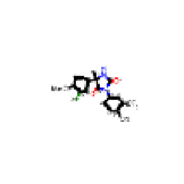 COc1ccc(C2(C)NC(=O)N(c3ccc(C#N)c(C(F)(F)F)c3)C2=O)cc1F